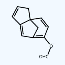 O=COC1=C2C=C3C=CCC3(C=C1)C2